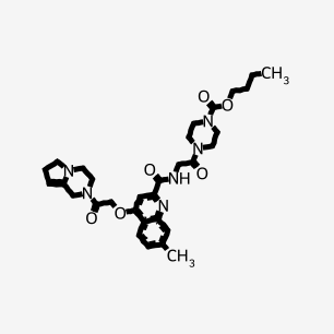 CCCCOC(=O)N1CCN(C(=O)CNC(=O)c2cc(OCC(=O)N3CCN4CCC=C4C3)c3ccc(C)cc3n2)CC1